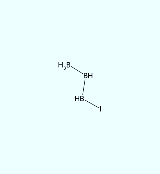 BBBI